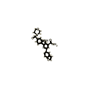 NC(=O)c1cc(-c2ccc3occc3c2)nc2c1[nH]c1cc(C(=O)N3CCOCC3)ccc12